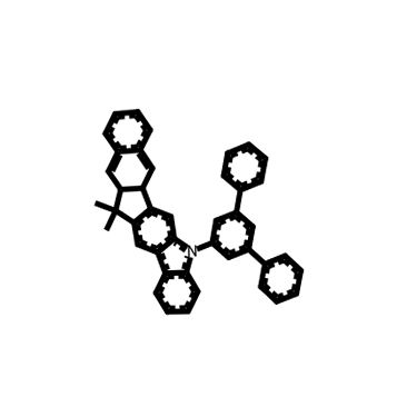 CC1(C)c2cc3c4ccccc4n(-c4cc(-c5ccccc5)cc(-c5ccccc5)c4)c3cc2C2C=c3ccccc3=CC21